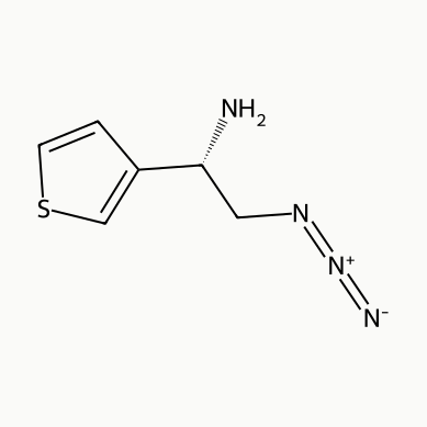 [N-]=[N+]=NC[C@@H](N)c1ccsc1